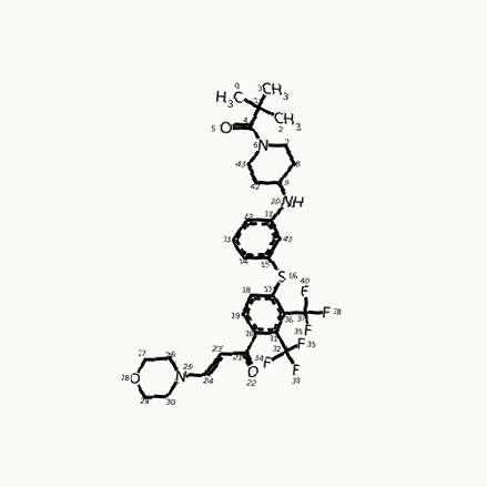 CC(C)(C)C(=O)N1CCC(Nc2cccc(Sc3ccc(C(=O)C=CN4CCOCC4)c(C(F)(F)F)c3C(F)(F)F)c2)CC1